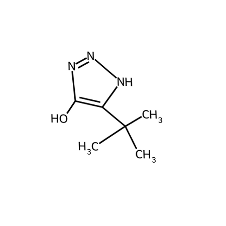 CC(C)(C)c1[nH]nnc1O